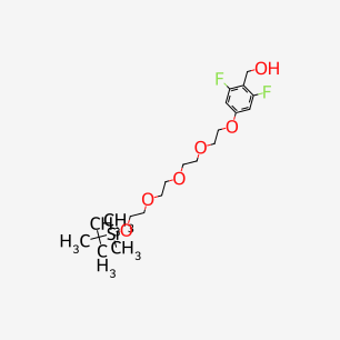 CC(C)(C)[Si](C)(C)OCCOCCOCCOCCOc1cc(F)c(CO)c(F)c1